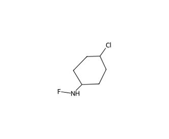 FNC1CCC(Cl)CC1